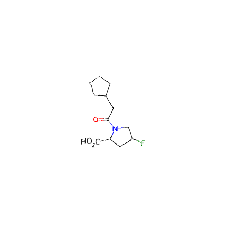 O=C(O)C1CC(F)CN1C(=O)CC1CCCC1